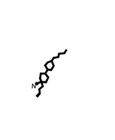 C=CCCC1(C#N)CCC(C2CCC(CCCCC)CC2)CC1